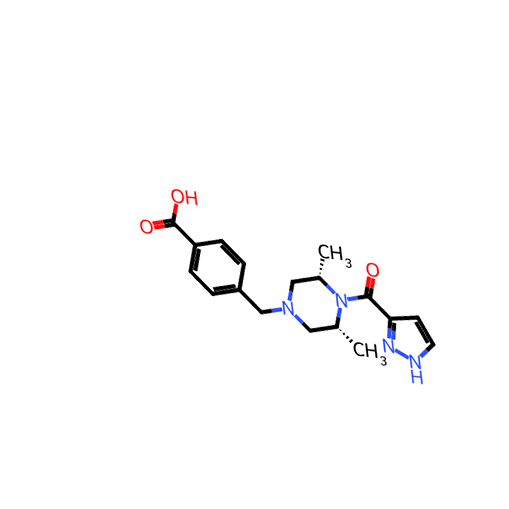 C[C@@H]1CN(Cc2ccc(C(=O)O)cc2)C[C@H](C)N1C(=O)c1cc[nH]n1